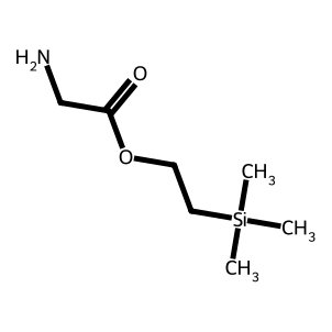 C[Si](C)(C)CCOC(=O)CN